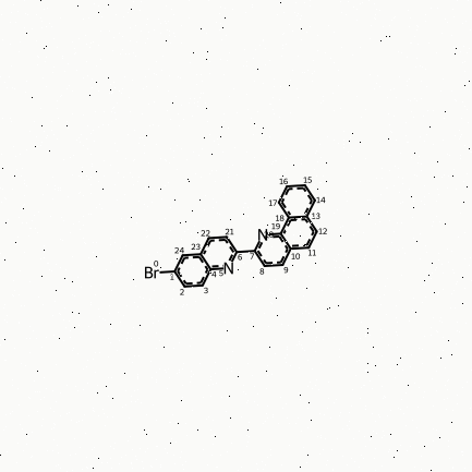 Brc1ccc2nc(-c3ccc4ccc5ccccc5c4n3)ccc2c1